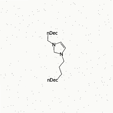 CCCCCCCCCCCCCN1C=CN(CCCCCCCCCCC)C1